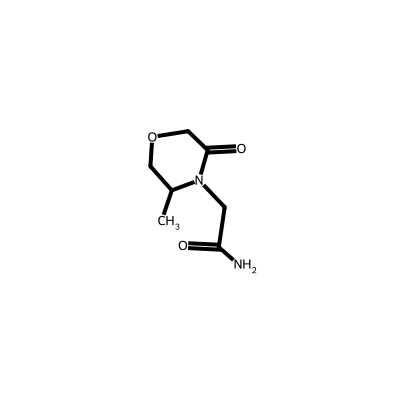 CC1COCC(=O)N1CC(N)=O